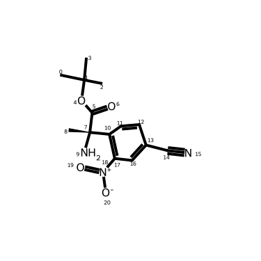 CC(C)(C)OC(=O)[C@@](C)(N)c1ccc(C#N)cc1[N+](=O)[O-]